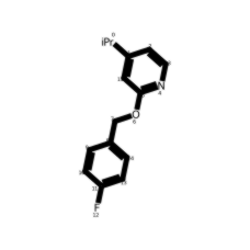 CC(C)c1ccnc(OCc2ccc(F)cc2)c1